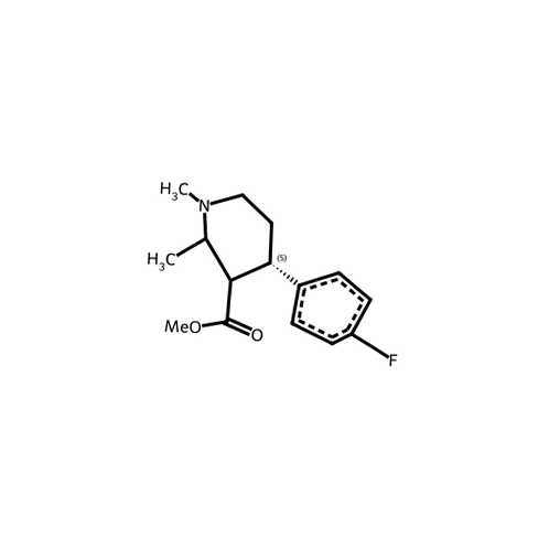 COC(=O)C1C(C)N(C)CC[C@@H]1c1ccc(F)cc1